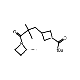 C[C@@H]1CCN1C(=O)C(C)(C)CC1CN(C(=O)C(C)(C)C)C1